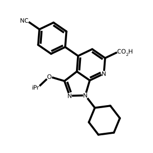 CC(C)Oc1nn(C2CCCCC2)c2nc(C(=O)O)cc(-c3ccc(C#N)cc3)c12